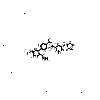 C[C@@H](NC(=O)c1cncc(O[C@@H]2CCOC2)c1)c1ccc(-c2cc(C(F)(F)F)ccc2CN)cc1